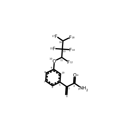 C=C(C(N)=O)c1cccc(OC(F)C(F)(F)C(F)F)c1